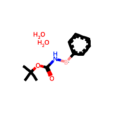 CC(C)(C)OC(=O)N[B]c1ccccc1.O.O